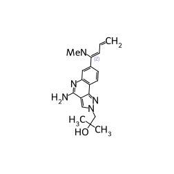 C=C/C=C(\NC)c1ccc2c(c1)nc(N)c1cn(CC(C)(C)O)nc12